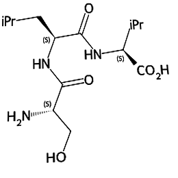 CC(C)C[C@H](NC(=O)[C@@H](N)CO)C(=O)N[C@H](C(=O)O)C(C)C